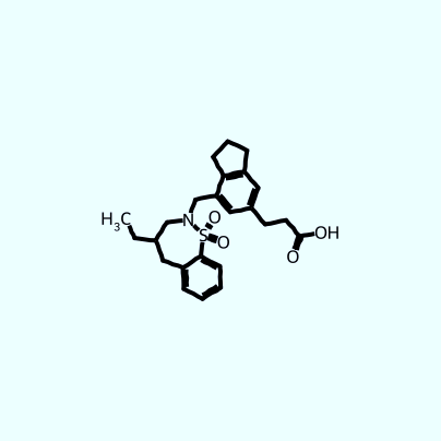 CCC1Cc2ccccc2S(=O)(=O)N(Cc2cc(CCC(=O)O)cc3c2CCC3)C1